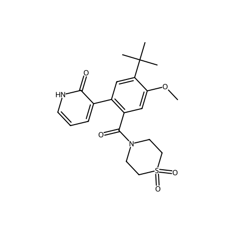 COc1cc(C(=O)N2CCS(=O)(=O)CC2)c(-c2ccc[nH]c2=O)cc1C(C)(C)C